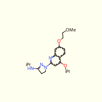 COCCOc1ccc2c(OC(C)C)cc(N3CCC(NC(C)C)=N3)nc2c1